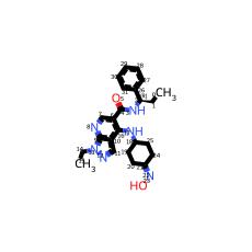 CC[C@@H](NC(=O)c1cnc2c(cnn2CC)c1NC1CCC(=NO)CC1)c1ccccc1